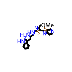 COCc1nc(NCC(N)Cc2c[nH]c3ccccc23)sc1-c1nc2ccncc2s1